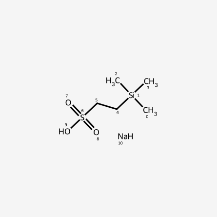 C[Si](C)(C)CCS(=O)(=O)O.[NaH]